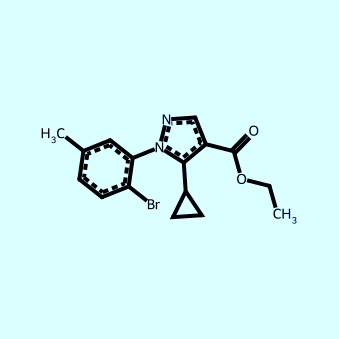 CCOC(=O)c1cnn(-c2cc(C)ccc2Br)c1C1CC1